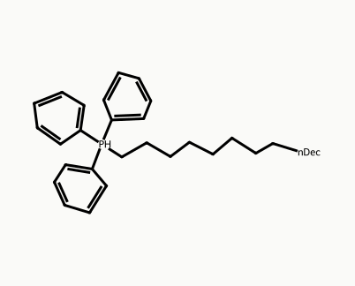 CCCCCCCCCCCCCCCCCC[PH](c1ccccc1)(c1ccccc1)c1ccccc1